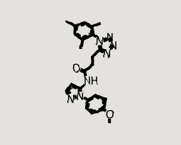 COc1ccc(-n2nccc2NC(=O)CCc2nnnn2-c2c(C)cc(C)cc2C)cc1